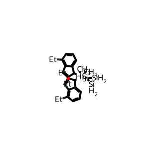 CCC1=Cc2c(CC)cccc2[CH]1[Hf]([CH3])([CH3])([CH]1C(CC)=Cc2c(CC)cccc21)=[Si]1[SiH2][SiH2]1